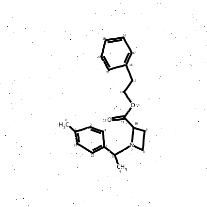 Cc1ccc(C(C)N2CCC2C(=O)OCCc2ccccc2)cc1